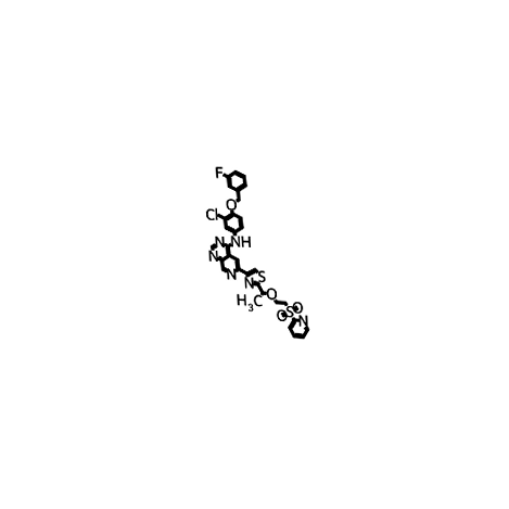 CC(OCCS(=O)(=O)c1ccccn1)c1nc(-c2cc3c(Nc4ccc(OCc5cccc(F)c5)c(Cl)c4)ncnc3cn2)cs1